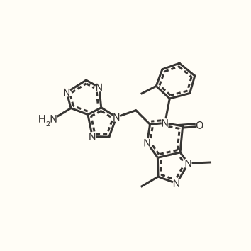 Cc1ccccc1-n1c(Cn2cnc3c(N)ncnc32)nc2c(C)nn(C)c2c1=O